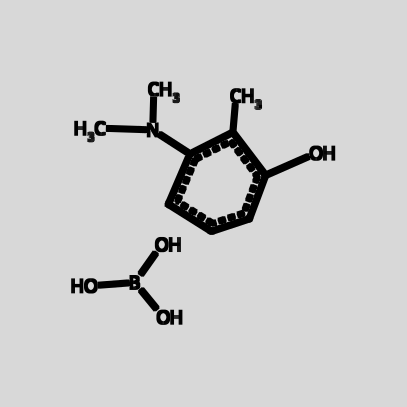 Cc1c(O)cccc1N(C)C.OB(O)O